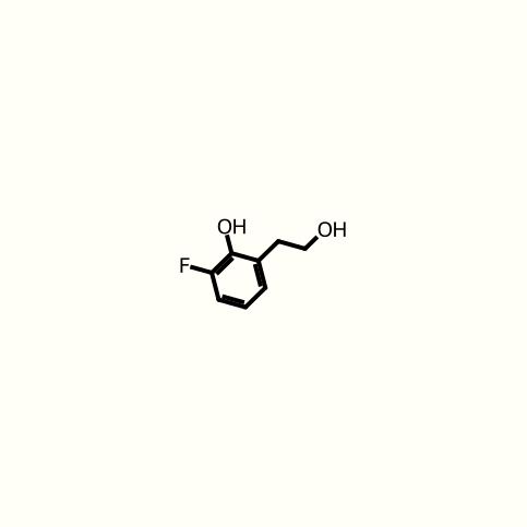 OCCc1cccc(F)c1O